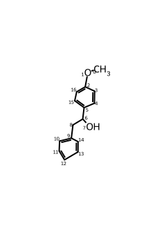 COc1ccc(C(O)Cc2ccccc2)cc1